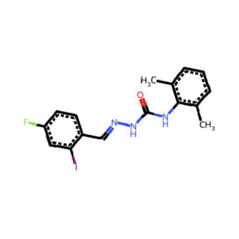 Cc1cccc(C)c1NC(=O)N/N=C/c1ccc(F)cc1I